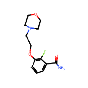 NC(=O)c1cc[c]c(OCCN2CCOCC2)c1F